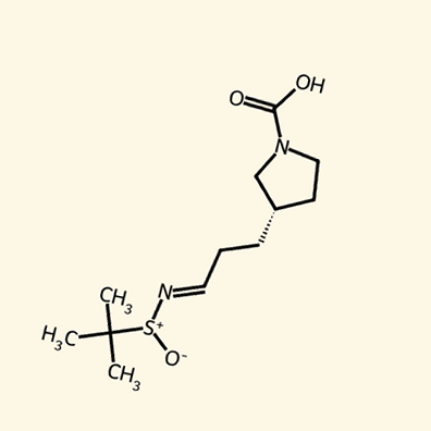 CC(C)(C)[S+]([O-])/N=C/CC[C@H]1CCN(C(=O)O)C1